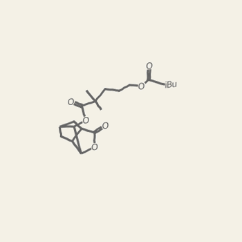 CCC(C)C(=O)OCCCC(C)(C)C(=O)OC1C2CC3C(=O)OC1C3C2